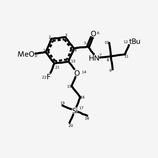 COc1ccc(C(=O)NC(C)(C)CC(C)(C)C)c(OCC[Si](C)(C)C)c1F